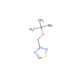 CC(C)(C)[Si](C)(C)OCc1n[c]sn1